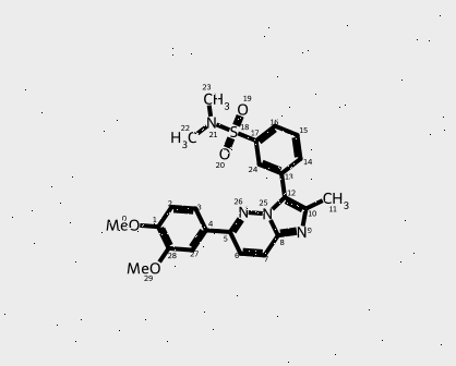 COc1ccc(-c2ccc3nc(C)c(-c4cccc(S(=O)(=O)N(C)C)c4)n3n2)cc1OC